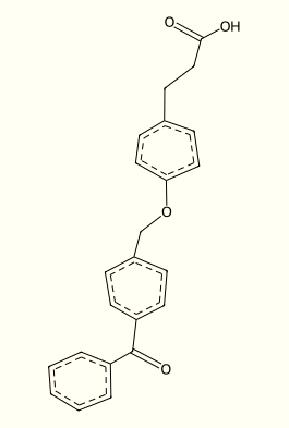 O=C(O)CCc1ccc(OCc2ccc(C(=O)c3ccccc3)cc2)cc1